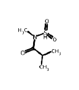 CC(C)C(=O)N(C)[SH](=O)=O